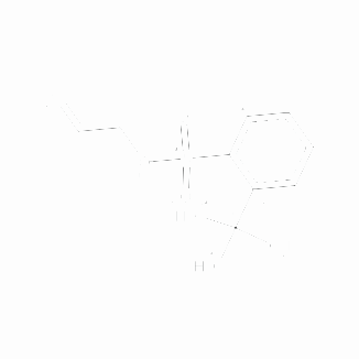 C=CCOS(=O)(=O)c1ccccc1C(C)(C)C